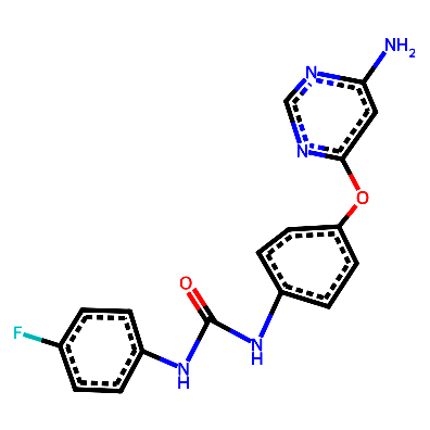 Nc1cc(Oc2ccc(NC(=O)Nc3ccc(F)cc3)cc2)ncn1